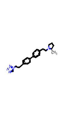 C[C@@H]1CCCN1CCc1ccc(-c2ccc(CCn3cnnn3)cc2)cc1